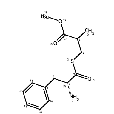 CC(CSC(=O)[C@H](N)Cc1ccccc1)C(=O)OC(C)(C)C